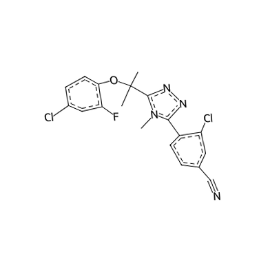 Cn1c(-c2ccc(C#N)cc2Cl)nnc1C(C)(C)Oc1ccc(Cl)cc1F